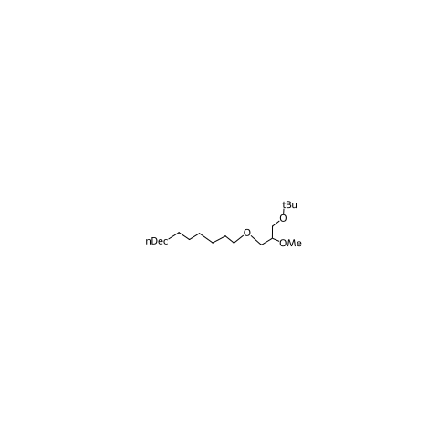 CCCCCCCCCCCCCCCCOCC(COC(C)(C)C)OC